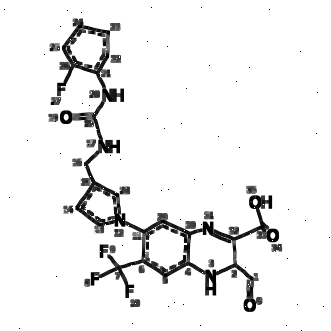 O=CC1Nc2cc(C(F)(F)F)c(-n3ccc(CNC(=O)Nc4ccccc4F)c3)cc2N=C1C(=O)O